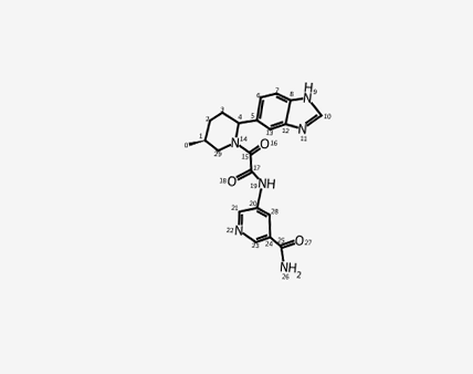 C[C@H]1CCC(c2ccc3[nH]cnc3c2)N(C(=O)C(=O)Nc2cncc(C(N)=O)c2)C1